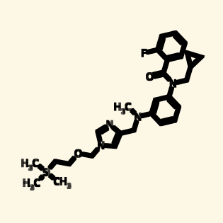 CN(Cc1cn(COCC[Si](C)(C)C)cn1)c1cccc(N(CC2CC2)C(=O)c2ccccc2F)c1